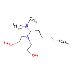 CCCCCC(N(C)C)N(CCO)CCO